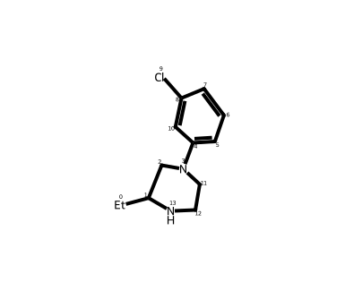 CCC1CN(c2cccc(Cl)c2)CCN1